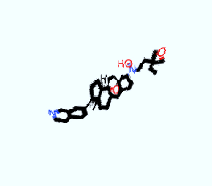 CCC1(CCN(O)[C@@H]2CCC3=CC4=CC[C@]5(C)[C@@H](c6ccc7ccncc7c6)CC[C@H]5[C@@]45CC[C@]3(C2)O5)COC1